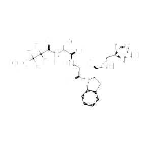 CCC(C)C(NC(=O)C(F)(F)C(F)(F)C(=O)O)C(=O)NCC(=O)N1c2ccccc2C[C@H]1C(=O)NCc1nn[nH]n1